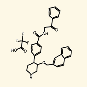 O=C(CNC(=O)c1ccc(C2CCNCC2OCc2ccc3ccccc3c2)cc1)c1ccccc1.O=C(O)C(F)(F)F